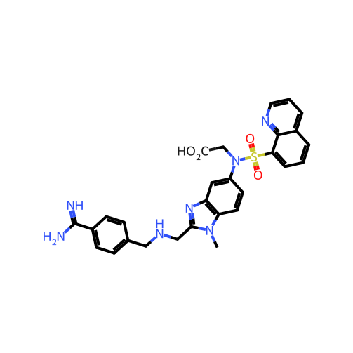 Cn1c(CNCc2ccc(C(=N)N)cc2)nc2cc(N(CC(=O)O)S(=O)(=O)c3cccc4cccnc34)ccc21